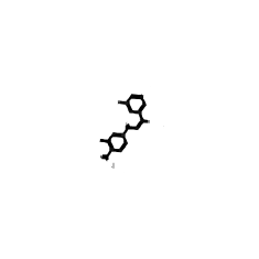 Cc1cc(C(=O)/C=C(\c2cc(Cl)cc(Cl)c2)C(F)(F)F)ccc1C(N)=O